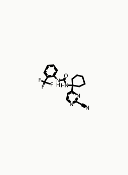 N#Cc1nccc(C2(NC(=O)Nc3ccccc3C(F)(F)F)CCCCC2)n1